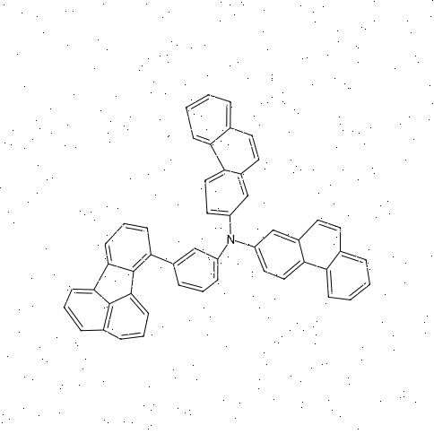 c1cc(-c2cccc3c2-c2cccc4cccc-3c24)cc(N(c2ccc3c(ccc4ccccc43)c2)c2ccc3c(ccc4ccccc43)c2)c1